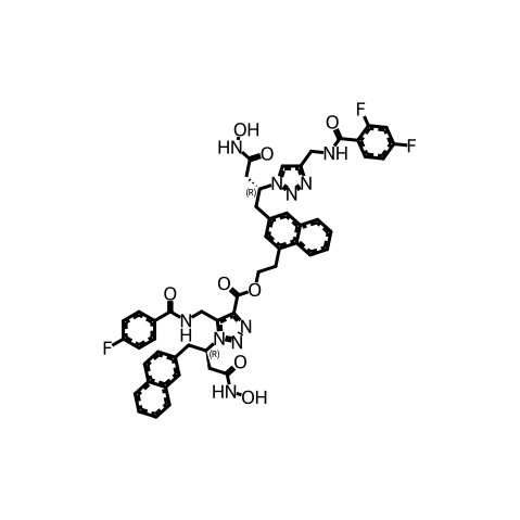 O=C(C[C@@H](Cc1cc(CCOC(=O)c2nnn([C@@H](CC(=O)NO)Cc3ccc4ccccc4c3)c2CNC(=O)c2ccc(F)cc2)c2ccccc2c1)n1cc(CNC(=O)c2ccc(F)cc2F)nn1)NO